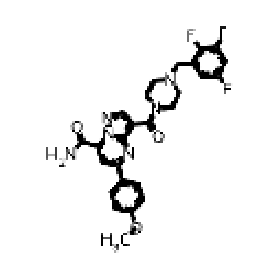 COc1ccc(-c2cc(C(N)=O)n3ncc(C(=O)N4CCN(Cc5cc(F)cc(F)c5F)CC4)c3n2)cc1